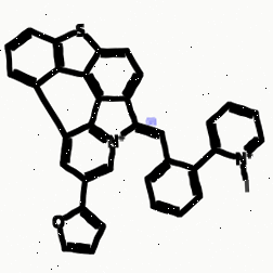 I[n+]1ccccc1-c1ccccc1/C=C1/c2ccc3sc4cccc5c6cc(-c7ccco7)c[n+]1c6c2c3c45